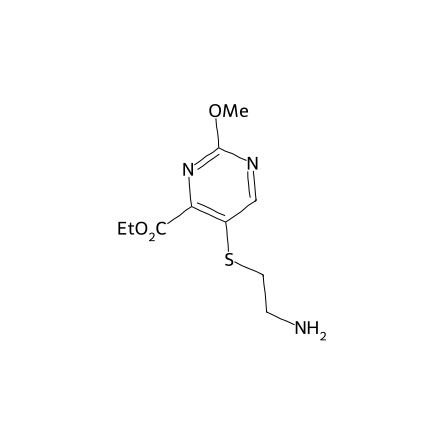 CCOC(=O)c1nc(OC)ncc1SCCN